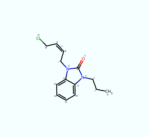 CCCn1c(=O)n(C/C=C\CCl)c2ccccc21